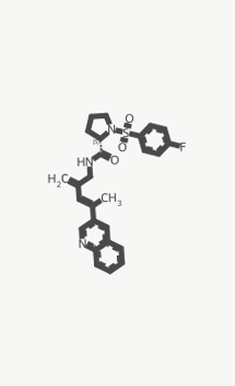 C=C(C=C(C)c1cnc2ccccc2c1)CNC(=O)[C@@H]1CCCN1S(=O)(=O)c1ccc(F)cc1